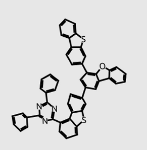 c1ccc(-c2nc(-c3ccccc3)nc(-c3cccc4sc5cc(-c6cc(-c7ccc8c(c7)sc7ccccc78)c7oc8ccccc8c7c6)ccc5c34)n2)cc1